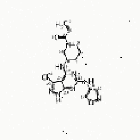 C=CC(=O)N1CCC[C@@H](Nc2nc(Nc3cnoc3)nc3[nH]nc(Cl)c23)C1